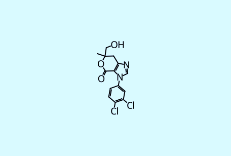 CC1(CO)Cc2ncn(-c3ccc(Cl)c(Cl)c3)c2C(=O)O1